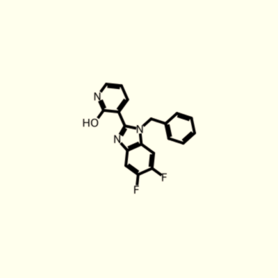 Oc1ncccc1-c1nc2cc(F)c(F)cc2n1Cc1ccccc1